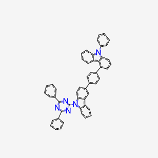 c1ccc(-c2nc(-c3ccccc3)nc(-n3c4ccccc4c4cc(-c5ccc(-c6cccc7c6c6ccccc6n7-c6ccccc6)cc5)ccc43)n2)cc1